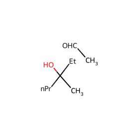 CC=O.CCCC(C)(O)CC